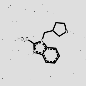 O=C(O)c1nc2ccccc2n1CC1CCOC1